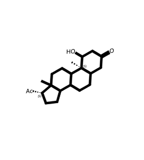 CC(=O)[C@H]1CCC2C3CCC4CC(=O)CC(O)[C@]4(C)C3CCC21C